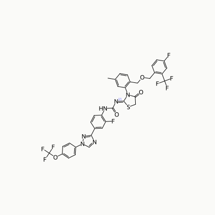 Cc1ccc(COCc2ccc(F)cc2C(F)(F)F)c(N2C(=O)CS/C2=N\C(=O)Nc2ccc(-c3ncn(-c4ccc(OC(F)(F)F)cc4)n3)cc2F)c1